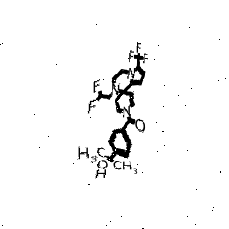 CC(C)(O)c1ccc(C(=O)N2CCC3(CC2)c2ccc(C(F)(F)F)n2CCN3CC(F)F)cc1